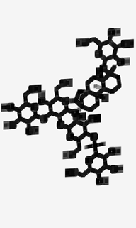 C=C1C[C@@]23CC[C@@H]4C(C)(OC5OC(CO)C(O)C(O)C5O)CCC[C@@]4(C)[C@@H]2CC[C@]1(OC1OC(CO)C(O)C(OC2OC(CO)C(O)C(O)C2O)C1OC1OC(CO)C(OC(C)(C)C2OC(CO)C(O)C(O)C2O)C(O)C1O)C3